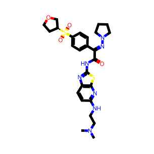 CN(C)CCNc1ccc2nc(NC(=O)/C(=N/N3CCCC3)c3ccc(S(=O)(=O)[C@H]4CCOC4)cc3)sc2n1